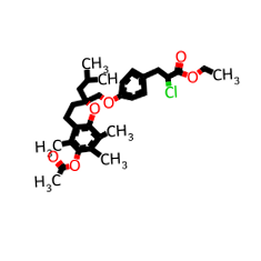 CCOC(=O)C(Cl)Cc1ccc(OCC2(CC(C)C)CCc3c(C)c(OC(C)=O)c(C)c(C)c3O2)cc1